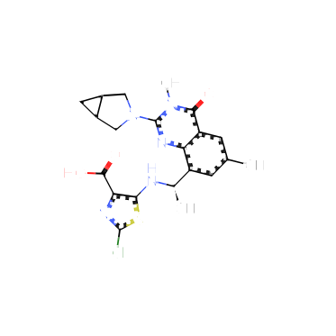 Cc1cc([C@@H](C)Nc2sc(Cl)nc2C(=O)O)c2nc(N3CC4CC4C3)n(C)c(=O)c2c1